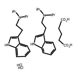 CC(C)N(CCc1c[nH]c2ccccc12)C(C)C.CC(C)N(CCc1c[nH]c2ccccc12)C(C)C.Cl.Cl.O=C(O)CCCC(=O)O